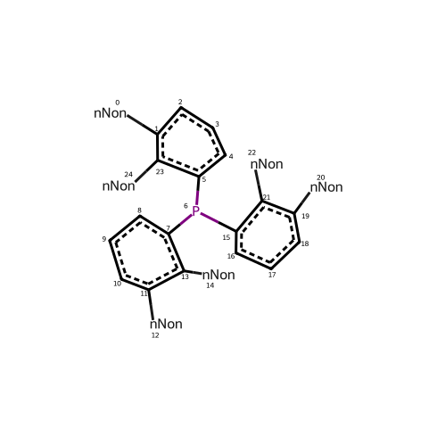 CCCCCCCCCc1cccc(P(c2cccc(CCCCCCCCC)c2CCCCCCCCC)c2cccc(CCCCCCCCC)c2CCCCCCCCC)c1CCCCCCCCC